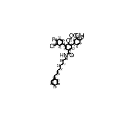 O=C(O)COc1c(-c2ccc(F)c(Cl)c2)cc(C(=O)NCCCCCCCCc2ccccc2)cc1-c1ccc(F)c(Cl)c1